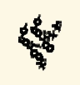 CC(N)C(Oc1ccc2c(cnn2-c2ccc(F)cc2)c1)c1cnc2ccccc2c1.C[C@H](NC(=O)C(F)(F)F)[C@H](Oc1ccc2c(cnn2-c2ccc(F)cc2)c1)c1cnc2ccccc2c1.O=C(O)C(F)(F)F.O=C(O)C(F)(F)F